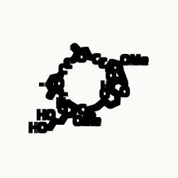 C=C1CC2CC[C@]34C[C@@H](OC)C(O3)C3CC(O4)[C@H]4OC(CCC4O3)CC(=O)CC3[C@@H](OC)C(CC(O)CO)O[C@H]3CC3OC(CCC1O2)C[C@@H](C)C3=C